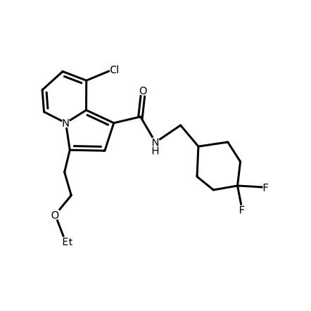 CCOCCc1cc(C(=O)NCC2CCC(F)(F)CC2)c2c(Cl)cccn12